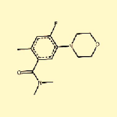 Cc1cc(F)c(N2CCOCC2)cc1C(=O)N(C)C